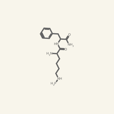 NC(=O)C(Cc1cc#ccc1)NC(=O)C(N)CCCCNP